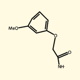 COc1cccc(OCC([NH])=O)c1